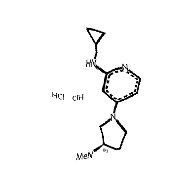 CN[C@@H]1CCN(c2ccnc(NC3CC3)c2)C1.Cl.Cl